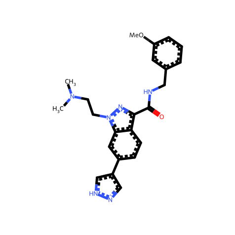 COc1cccc(CNC(=O)c2nn(CCN(C)C)c3cc(-c4cn[nH]c4)ccc23)c1